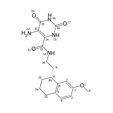 COc1ccc2c(c1)[C@@H](CCNC(=O)c1[nH]c(=O)[nH]c(=O)c1N)CCC2